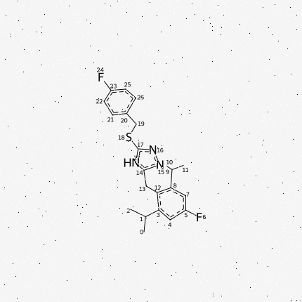 CC(C)c1cc(F)cc(C(C)C)c1Cc1nnc(SCc2ccc(F)cc2)[nH]1